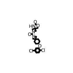 O=C1NC2(CO1)CN(C(=O)N1CC3(CCC(Oc4cc(Cl)ccc4Cl)CC3)C1)C2